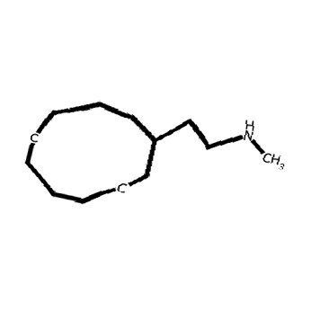 CNCCC1CCCCCCCCC1